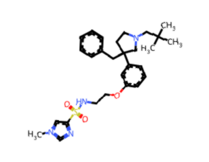 Cn1cnc(S(=O)(=O)NCCOc2cccc(C3(Cc4ccccc4)CCN(CC(C)(C)C)C3)c2)c1